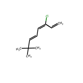 C=C/C(Cl)=C\C=C\C(C)(C)C